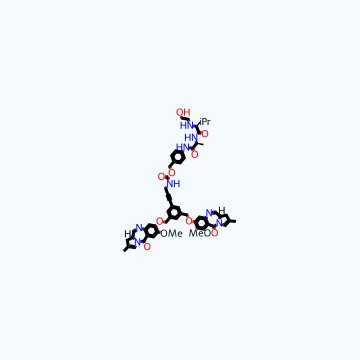 COc1cc2c(cc1OCc1cc(C#CCNC(=O)OCc3ccc(NC(=O)[C@H](C)NC(=O)[C@@H](NCCO)C(C)C)cc3)cc(COc3cc4c(cc3OC)C(=O)N3C=C(C)C[C@H]3C=N4)c1)N=C[C@@H]1CC(C)=CN1C2=O